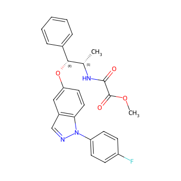 COC(=O)C(=O)N[C@@H](C)[C@H](Oc1ccc2c(cnn2-c2ccc(F)cc2)c1)c1ccccc1